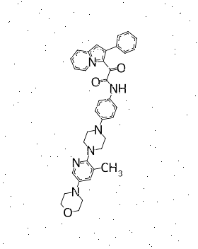 Cc1cc(N2CCOCC2)cnc1N1CCN(c2ccc(NC(=O)C(=O)c3c(-c4ccccc4)cc4ccccn34)cc2)CC1